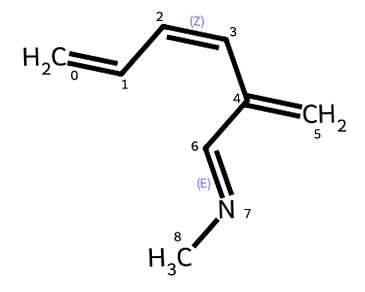 C=C/C=C\C(=C)/C=N/C